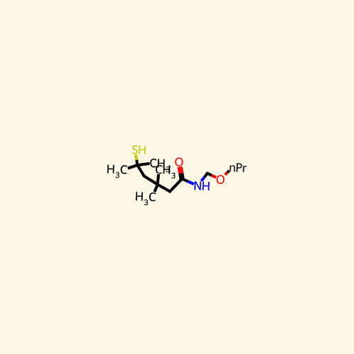 CCCOCNC(=O)CC(C)(C)CC(C)(C)S